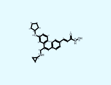 O=C(/C=C/c1ccc(/C=C(/CNC2CC2)c2cccc(OC3CCCC3)c2)cc1)NO